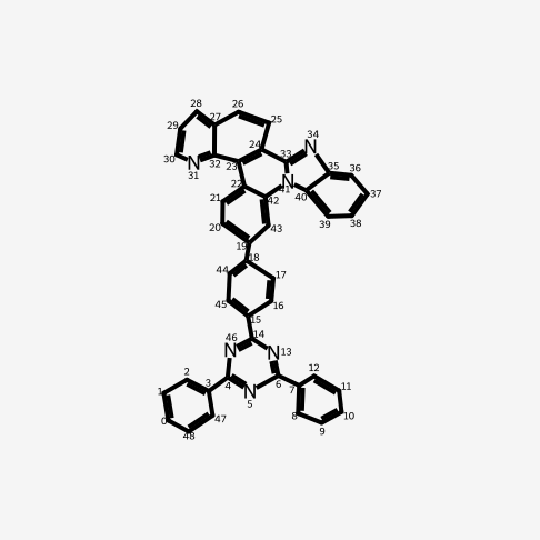 c1ccc(-c2nc(-c3ccccc3)nc(-c3ccc(-c4ccc5c6c(ccc7cccnc76)c6nc7ccccc7n6c5c4)cc3)n2)cc1